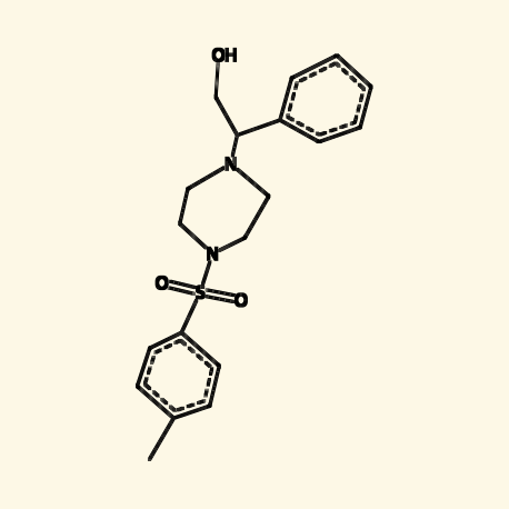 Cc1ccc(S(=O)(=O)N2CCN(C(CO)c3ccccc3)CC2)cc1